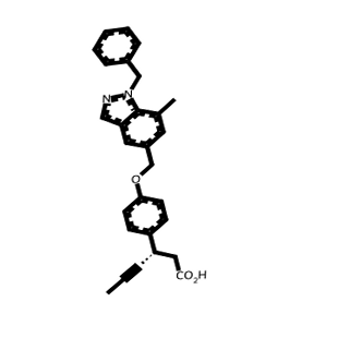 CC#C[C@@H](CC(=O)O)c1ccc(OCc2cc(C)c3c(cnn3Cc3ccccc3)c2)cc1